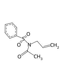 C=CCN(C(C)=O)S(=O)(=O)c1ccccc1